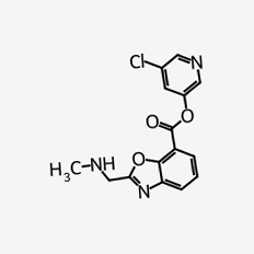 CNCc1nc2cccc(C(=O)Oc3cncc(Cl)c3)c2o1